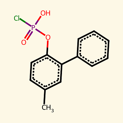 Cc1ccc(OP(=O)(O)Cl)c(-c2ccccc2)c1